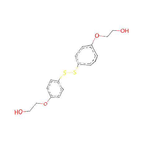 OCCOc1ccc(SSc2ccc(OCCO)cc2)cc1